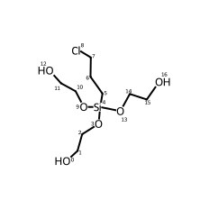 OCCO[Si](CCCCl)(OCCO)OCCO